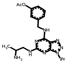 CC(=O)Oc1cccc(CNc2nc(NCC(C)N)nc3c2nnn3C(C)C)c1